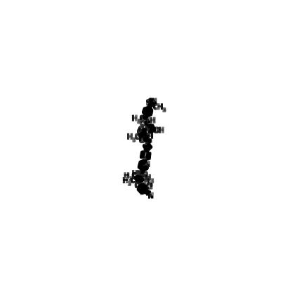 Cc1ncsc1-c1ccc([C@H](C)NC(=O)[C@@H]2C[C@@H](O)CN2C(=O)[C@@H](NC(=O)CN2CC(N3CCN(c4ccc(C(=O)NC5C(C)(C)C(Oc6ccc(C#N)c(Cl)c6)C5(C)C)cn4)CC3)C2)C(C)(C)C)cc1